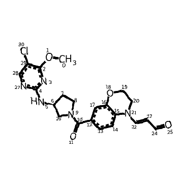 COc1nc(N[C@H]2CCN(C(=O)c3ccc4c(c3)OCCN4C=CC=O)C2)ncc1Cl